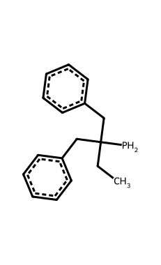 CCC(P)(Cc1ccccc1)Cc1ccccc1